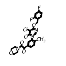 Cc1ccc(C(=O)C(=O)N2CCOCC2)cc1-n1cnc(OCc2ccc(F)cc2F)c(Cl)c1=O